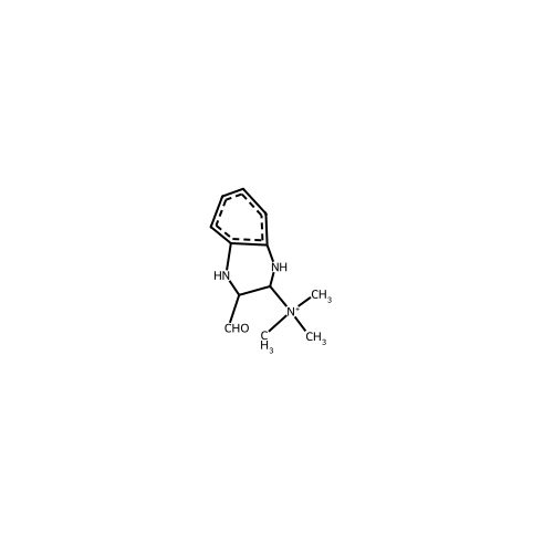 C[N+](C)(C)C1Nc2ccccc2NC1C=O